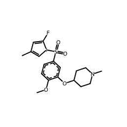 COc1ccc(S(=O)(=O)I2C=C(C)C=C2F)cc1OC1CCN(C)CC1